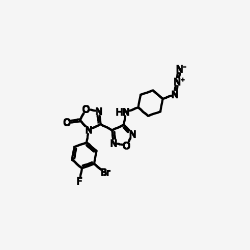 [N-]=[N+]=NC1CCC(Nc2nonc2-c2noc(=O)n2-c2ccc(F)c(Br)c2)CC1